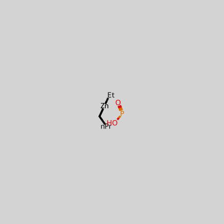 CCC[CH2][Zn][CH2]C.O=PO